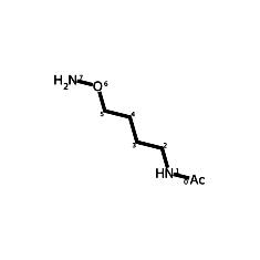 CC(=O)NCCCCON